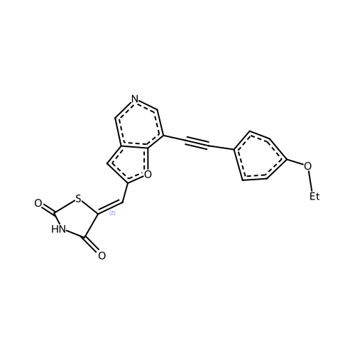 CCOc1ccc(C#Cc2cncc3cc(/C=C4\SC(=O)NC4=O)oc23)cc1